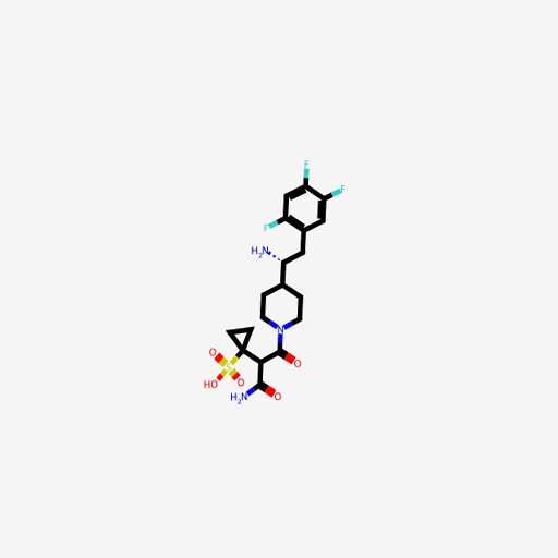 NC(=O)C(C(=O)N1CCC([C@H](N)Cc2cc(F)c(F)cc2F)CC1)C1(S(=O)(=O)O)CC1